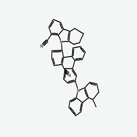 CC1CC=Cc2c1c1ccccc1n2-c1cccc(-c2ccccc2-c2c(C#N)cccc2-n2c3c(c4cccc(C#N)c42)CCCC3)c1